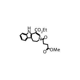 CCOC(=O)C1=CN(C(=O)CCC(=O)OC)CCc2c1[nH]c1ccccc21